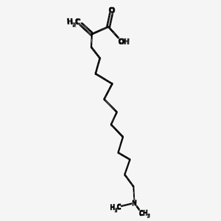 C=C(CCCCCCCCCCCCN(C)C)C(=O)O